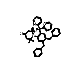 CC1(C)CC(=O)CC(C)(C)P1c1cc(Cc2ccccc2)c(Cc2ccccc2)cc1C(P)(c1ccccn1)c1ccccn1